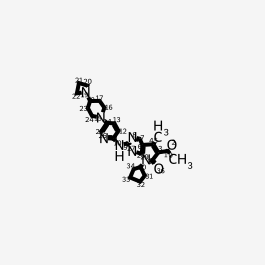 CC(=O)c1c(C)c2cnc(Nc3ccc(N4CCC(N5CCC5)CC4)cn3)nc2n(C2CCCC2)c1=O